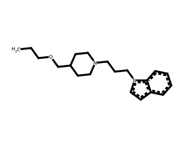 CCCOCC1CCN(CCCn2ccc3ccccc32)CC1